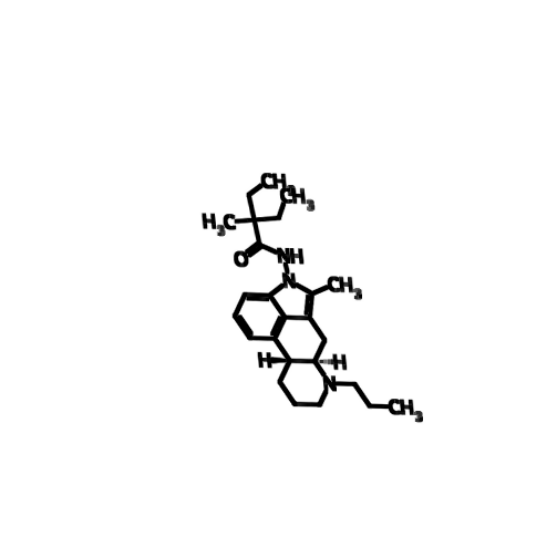 CCCN1CCC[C@@H]2c3cccc4c3c(c(C)n4NC(=O)C(C)(CC)CC)C[C@H]21